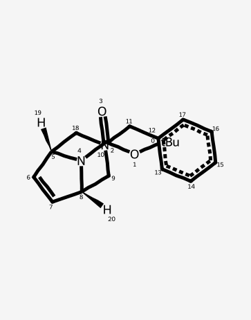 CC(C)(C)OC(=O)N1[C@@H]2C=C[C@H]1CN(Cc1ccccc1)C2